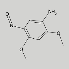 COc1cc(OC)c(N=O)cc1N